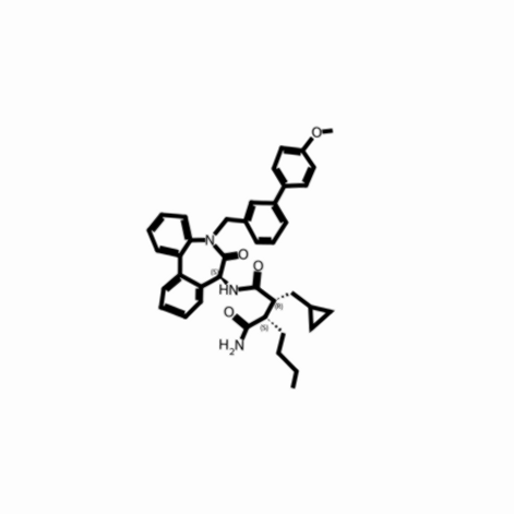 CCCC[C@H](C(N)=O)[C@@H](CC1CC1)C(=O)N[C@@H]1C(=O)N(Cc2cccc(-c3ccc(OC)cc3)c2)c2ccccc2-c2ccccc21